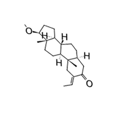 CC=C1C[C@@]2(C)[C@@H](CC[C@@H]3[C@@H]2CC[C@]2(C)[C@@H](OC)CC[C@@H]32)CC1=O